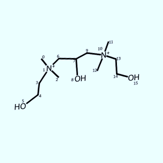 C[N+](C)(CCO)CC(O)C[N+](C)(C)CCO